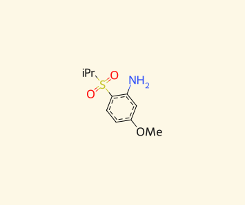 COc1ccc(S(=O)(=O)C(C)C)c(N)c1